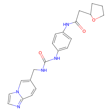 O=C(CC1CCCO1)Nc1ccc(NC(=O)NCc2ccc3nccn3c2)cc1